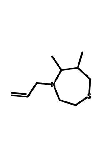 C=CCN1CCSCC(C)C1C